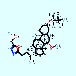 COCc1nnc(CCC(C)[C@H]2CC[C@H]3[C@@H]4[C@H](OC)C[C@@H]5C[C@H](O[Si](C)(C)C(C)(C)C)CC[C@]5(C)[C@H]4CC[C@]23C)o1